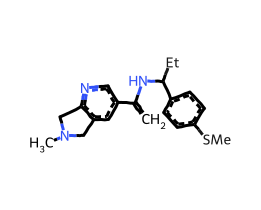 C=C(NC(CC)c1ccc(SC)cc1)c1cnc2c(c1)CN(C)C2